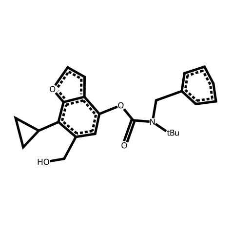 CC(C)(C)N(Cc1ccccc1)C(=O)Oc1cc(CO)c(C2CC2)c2occc12